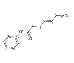 CCCCCCCCCC=CCCC(=O)Oc1ccccc1